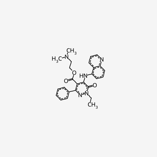 CCn1nc(-c2ccccc2)c(C(=O)OCCN(C)C)c(Nc2cccc3ncccc23)c1=O